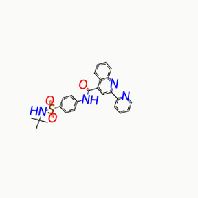 CC(C)(C)NS(=O)(=O)c1ccc(NC(=O)c2cc(-c3ccccn3)nc3ccccc23)cc1